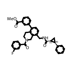 COC(=O)c1cccc(-c2ccc(CNC(=O)[C@H]3C[C@H]3c3ccccc3)c3c2CCN(C(=O)c2cccc(F)c2)C3)c1